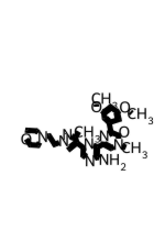 COc1cc(OC)cc(-c2nc(-c3nc(-c4cn(CCN5CCOCC5)nc4C)cnc3N)cn(C)c2=O)c1